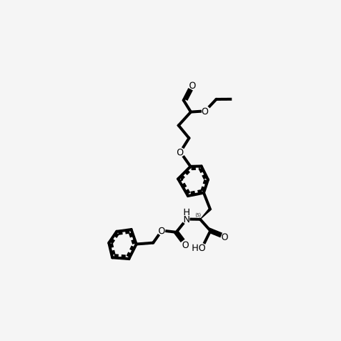 CCOC(C=O)CCOc1ccc(C[C@H](NC(=O)OCc2ccccc2)C(=O)O)cc1